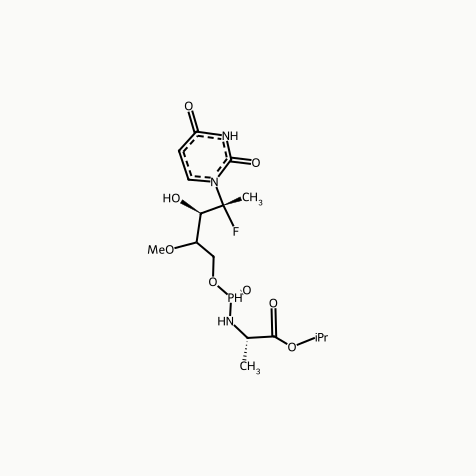 COC(CO[PH](=O)N[C@@H](C)C(=O)OC(C)C)[C@@H](O)[C@@](C)(F)n1ccc(=O)[nH]c1=O